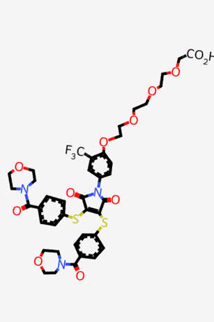 O=C(O)COCCOCCOCCOc1ccc(N2C(=O)C(Sc3ccc(C(=O)N4CCOCC4)cc3)=C(Sc3ccc(C(=O)N4CCOCC4)cc3)C2=O)cc1C(F)(F)F